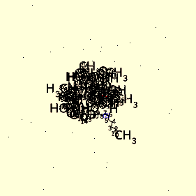 CCCCCC/C=C\CCCOc1cccc(C(=O)N[C@@H]2C(O[C@@H]3C(CO)O[C@@H](OC4C(CO)O[C@@H](O[C@@H]5C(CO)OC(OC6C(CO[C@@H]7OC(C)C(O)[C@H](O)[C@H]7OC)OC(O)[C@@H](NC(C)=O)[C@H]6O)C(NC(C)=O)C5O)[C@@H](NC(C)=O)[C@H]4O)C(NC(C)=O)C3O)OC(CO)[C@@H](O)[C@@H]2O)c1